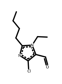 CCCCc1nc(Cl)c(C=O)n1CC